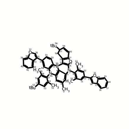 Cc1cc2c3c(c1)N(c1c(C)cc(-c4cc5ccccc5o4)cc1C)c1oc4c(c1B3c1ccc(-c3coc5ccccc35)cc1N2c1c(C)cc(C(C)(C)C)cc1C)CC(C(C)(C)C)C=C4